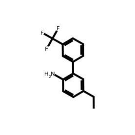 CCc1ccc(N)c(-c2cccc(C(F)(F)F)c2)c1